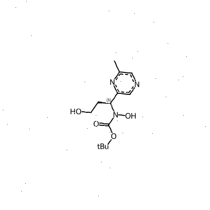 Cc1cncc([C@H](CCO)N(O)C(=O)OC(C)(C)C)n1